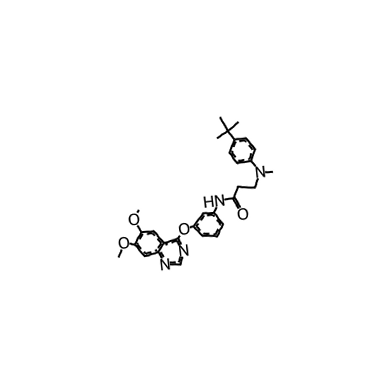 COc1cc2ncnc(Oc3cccc(NC(=O)CCN(C)c4ccc(C(C)(C)C)cc4)c3)c2cc1OC